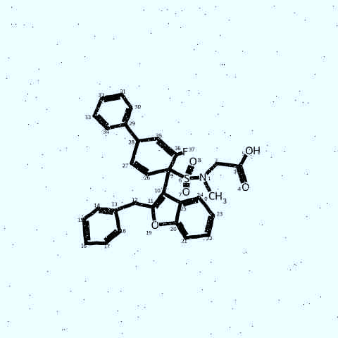 CN(CC(=O)O)S(=O)(=O)C1(c2c(Cc3ccccc3)oc3ccccc23)C=CC(c2ccccc2)C=C1F